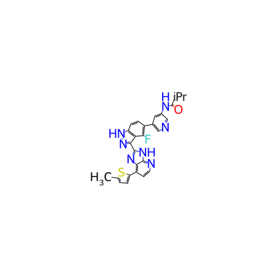 Cc1ccc(-c2ccnc3[nH]c(-c4n[nH]c5ccc(-c6cncc(NC(=O)C(C)C)c6)c(F)c45)nc23)s1